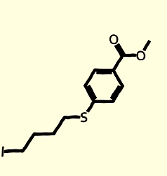 COC(=O)c1ccc(SCCCCI)cc1